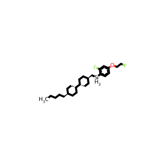 CCCCC[C@H]1CC[C@H]([C@H]2CC[C@H](C[SiH2]c3ccc(OCCF)cc3F)CC2)CC1